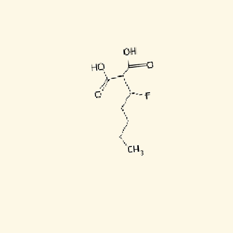 CCCCC(F)C(C(=O)O)C(=O)O